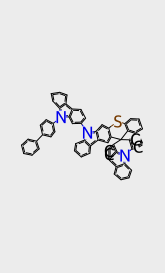 c1ccc(-c2ccc(-n3c4ccccc4c4ccc(-n5c6ccccc6c6cc7c(cc65)Sc5ccccc5C75c6ccccc6-n6c7ccccc7c7cccc5c76)cc43)cc2)cc1